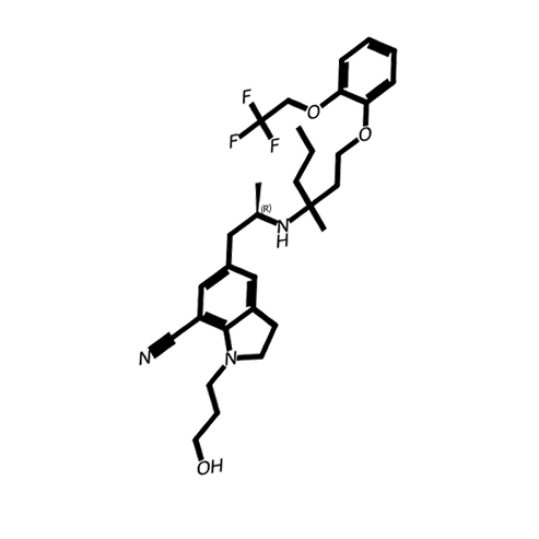 CCCC(C)(CCOc1ccccc1OCC(F)(F)F)N[C@H](C)Cc1cc(C#N)c2c(c1)CCN2CCCO